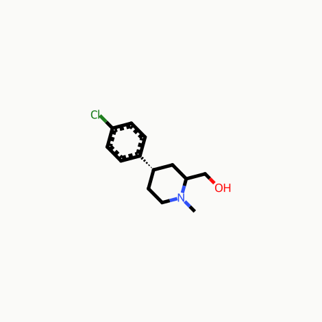 CN1CC[C@H](c2ccc(Cl)cc2)CC1CO